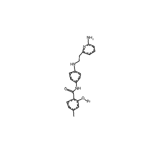 Cc1ccc(C(=O)Nc2ccc(NCCc3cccc(N)n3)cc2)c(OC(C)C)c1